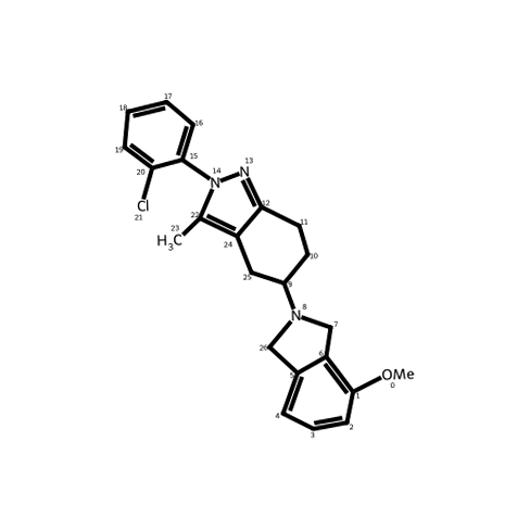 COc1cccc2c1CN(C1CCc3nn(-c4ccccc4Cl)c(C)c3C1)C2